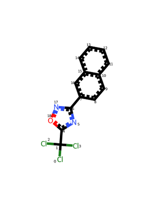 ClC(Cl)(Cl)c1nc(-c2ccc3ccccc3c2)no1